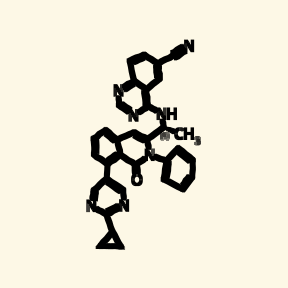 C[C@H](Nc1ncnc2ccc(C#N)cc12)c1cc2cccc(-c3cnc(C4CC4)nc3)c2c(=O)n1-c1ccccc1